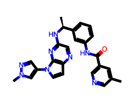 Cc1cncc(C(=O)Nc2cccc([C@H](C)Nc3cnc4ccn(-c5cnn(C)c5)c4n3)c2)c1